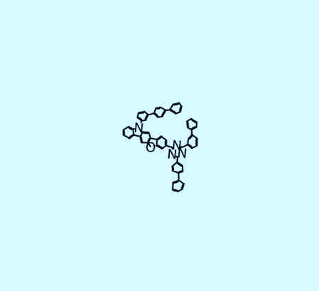 c1ccc(-c2ccc(-c3cccc(-n4c5ccccc5c5cc6oc7cc(-c8nc(-c9ccc(-c%10ccccc%10)cc9)nc(-c9cccc(-c%10ccccc%10)c9)n8)ccc7c6cc54)c3)cc2)cc1